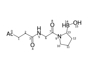 CC(=O)CCC(=O)NCC(=O)N1CCCC1BO